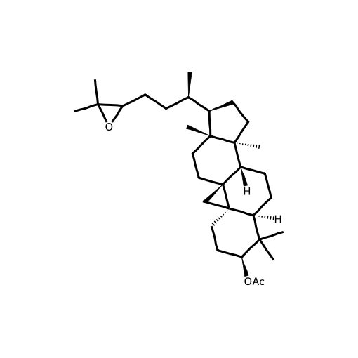 CC(=O)O[C@H]1CC[C@]23C[C@]24CC[C@]2(C)[C@@H]([C@H](C)CCC5OC5(C)C)CC[C@@]2(C)[C@@H]4CC[C@H]3C1(C)C